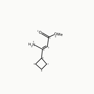 COC(=O)/C=C(\N)C1CCC1